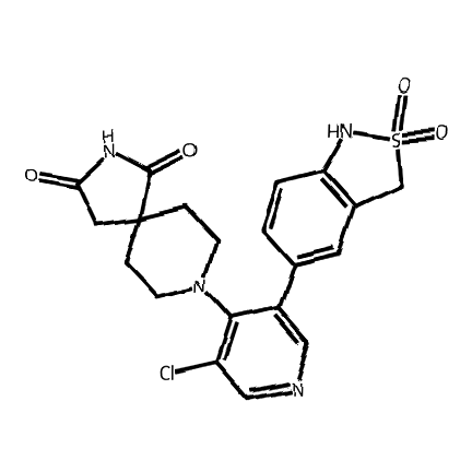 O=C1CC2(CCN(c3c(Cl)cncc3-c3ccc4c(c3)CS(=O)(=O)N4)CC2)C(=O)N1